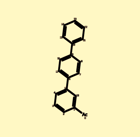 CC(=O)c1cccc(-c2ccc(-c3cc[c]cc3)cc2)c1